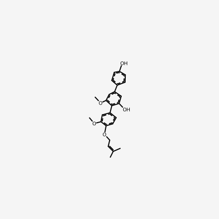 COc1cc(-c2c(O)cc(-c3ccc(O)cc3)cc2OC)ccc1OCC=C(C)C